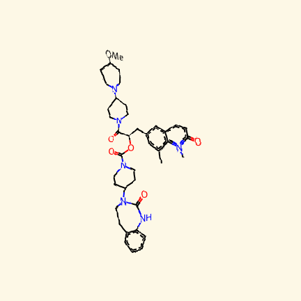 COC1CCN(C2CCN(C(=O)[C@@H](Cc3cc(C)c4c(ccc(=O)n4C)c3)OC(=O)N3CCC(N4CCc5ccccc5NC4=O)CC3)CC2)CC1